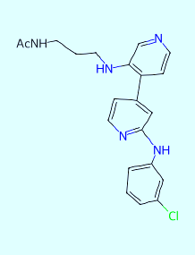 CC(=O)NCCCNc1cnccc1-c1ccnc(Nc2cccc(Cl)c2)c1